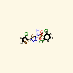 O=S(=O)(Nc1nnc(-c2sccc2Cl)s1)c1c(Cl)cccc1Cl